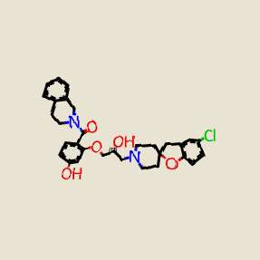 O=C(c1ccc(O)cc1OC[C@H](O)CN1CCC2(CC1)Cc1cc(Cl)ccc1O2)N1CCc2ccccc2C1